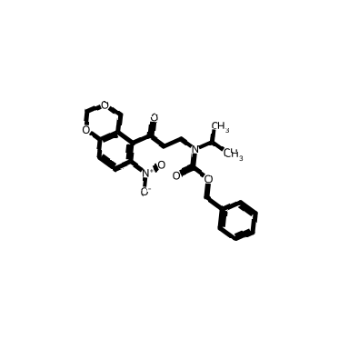 CC(C)N(CCC(=O)c1c([N+](=O)[O-])ccc2c1COCO2)C(=O)OCc1ccccc1